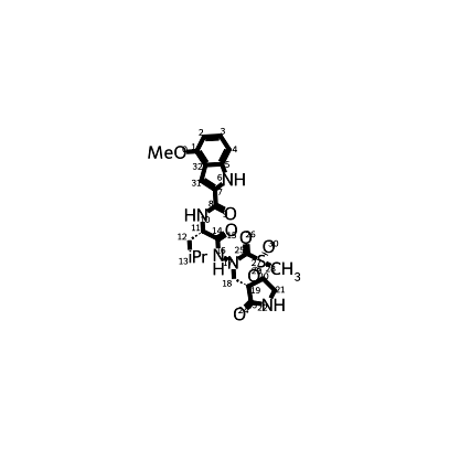 COc1cccc2[nH]c(C(=O)N[C@@H](CC(C)C)C(=O)NN(C[C@@H]3CCNC3=O)C(=O)S(C)(=O)=O)cc12